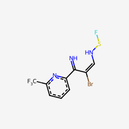 N=C(/C(Br)=C\NSF)c1cccc(C(F)(F)F)n1